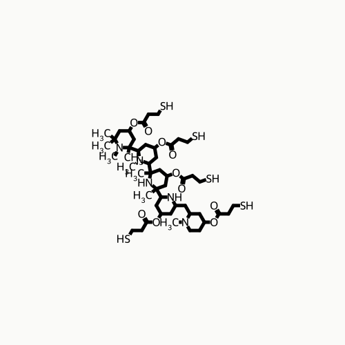 CN1CCC(OC(=O)CCS)CC1CC1CC(OC(=O)CCS)CC(C2(C)CC(OC(=O)CCS)CC(C)(C3CC(OC(=O)CCS)CC(C4(C)CC(OC(=O)CCS)CC(C)(C)N4C)N3C)N2)N1